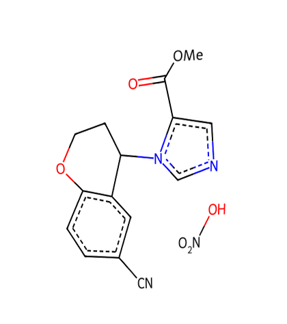 COC(=O)c1cncn1C1CCOc2ccc(C#N)cc21.O=[N+]([O-])O